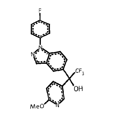 COc1ccc(C(O)(c2ccc3c(cnn3-c3ccc(F)cc3)c2)C(F)(F)F)cn1